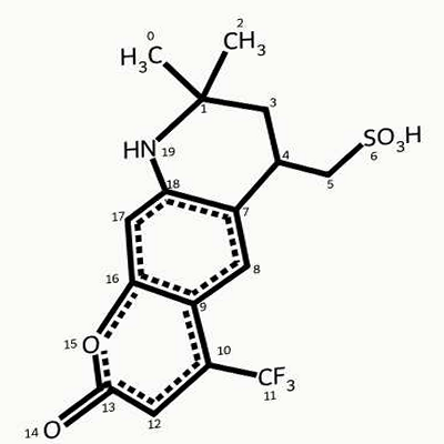 CC1(C)CC(CS(=O)(=O)O)c2cc3c(C(F)(F)F)cc(=O)oc3cc2N1